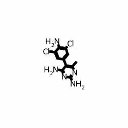 Cc1nc(N)nc(N)c1-c1cc(Cl)c(N)c(Cl)c1